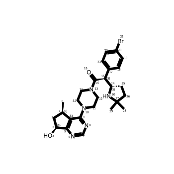 C[C@@H]1C[C@H](O)c2ncnc(N3CCN(C(=O)[C@@H](c4ccc(Br)cc4)[C@@H]4CCC(C)(C)N4)CC3)c21